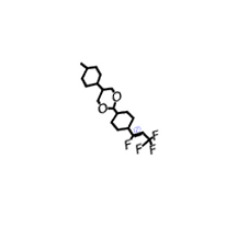 CC1CCC(C2COC(C3CCC(/C(F)=C/C(F)(F)F)CC3)OC2)CC1